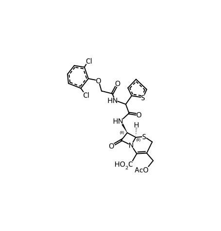 CC(=O)OCC1=C(C(=O)O)N2C(=O)[C@@H](NC(=O)C(NC(=O)COc3c(Cl)cccc3Cl)c3cccs3)[C@H]2SC1